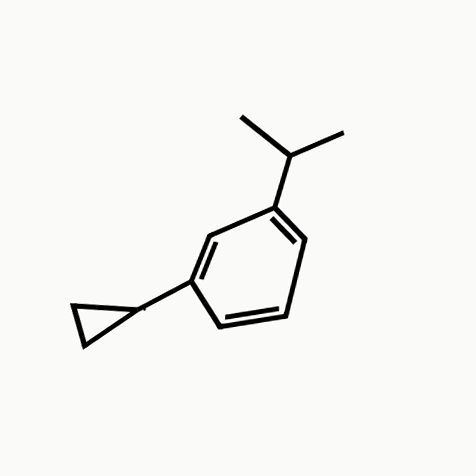 CC(C)c1cccc([C]2CC2)c1